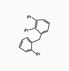 CC(C)c1ccccc1Cc1cccc(C(C)C)c1C(C)C